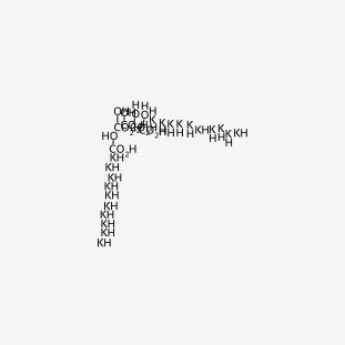 O=C(O)O.O=C(O)O.O=C(O)O.O=C(O)O.O=C(O)O.[KH].[KH].[KH].[KH].[KH].[KH].[KH].[KH].[KH].[KH].[KH].[KH].[KH].[KH].[KH].[KH].[KH].[KH].[KH].[KH]